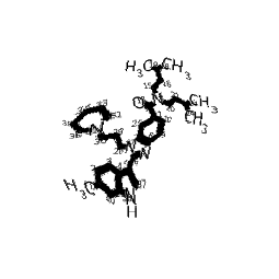 Cc1ccc2c(-c3nc4ccc(C(=O)N(CCC(C)C)CCC(C)C)cc4n3CCCN3CCCCC3)c[nH]c2c1